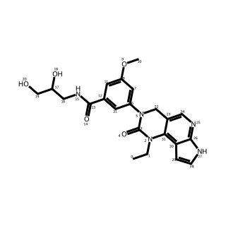 CCN1C(=O)N(c2cc(OC)cc(C(=O)NCC(O)CO)c2)Cc2cnc3[nH]ccc3c21